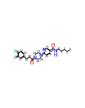 CCCCCNC(=O)c1ccc(N2CCN(C(=O)CCc3ccc(F)c(F)c3)CC2)nc1